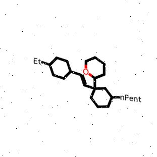 CCCCCC1CCCC(C=CC2CCC(CC)CC2)(C2CCCCO2)C1